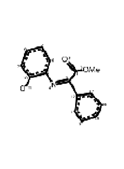 COC(=O)C(=Nc1ccccc1Cl)c1ccccc1